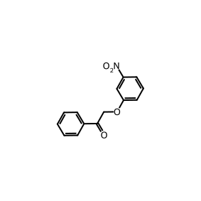 O=C(COc1cccc([N+](=O)[O-])c1)c1ccccc1